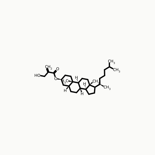 C=C(CO)C(=O)O[C@H]1CC[C@@]2(C)[C@H](CC[C@@H]3[C@@H]2CC[C@]2(C)C([C@H](C)CCCC(C)C)CC[C@@H]32)C1